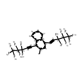 Cc1cc(C#CC(F)(F)C(F)(F)C(F)(F)F)c2ccccc2c1C#CC(F)(F)C(F)(F)C(F)(F)F